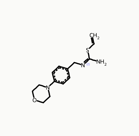 C=CS/C(N)=N\Cc1ccc(N2CCOCC2)cc1